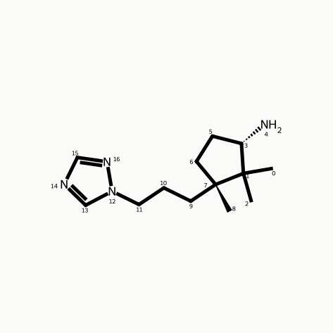 CC1(C)[C@@H](N)CC[C@@]1(C)CCCn1cncn1